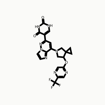 O=c1[nH]cc(-c2cc(N3CC(Oc4cnc(C(F)(F)F)cn4)C4(CC4)C3)c3nccn3n2)c(=O)[nH]1